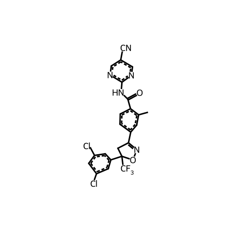 Cc1cc(C2=NOC(c3cc(Cl)cc(Cl)c3)(C(F)(F)F)C2)ccc1C(=O)Nc1ncc(C#N)cn1